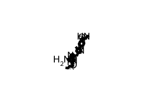 CCC[C@@H](C)Oc1nc(N)c2ncc(Cc3cnc(N4CCN(C(=O)CNC)CC4)c(C)c3)n2n1